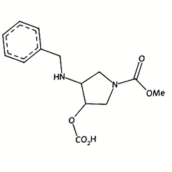 COC(=O)N1CC(NCc2ccccc2)C(OC(=O)O)C1